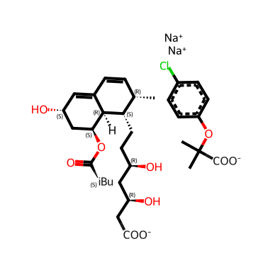 CC(C)(Oc1ccc(Cl)cc1)C(=O)[O-].CC[C@H](C)C(=O)O[C@H]1C[C@H](O)C=C2C=C[C@H](C)[C@H](CC[C@@H](O)C[C@@H](O)CC(=O)[O-])[C@H]21.[Na+].[Na+]